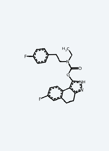 CCN(CCc1ccc(F)cc1)C(=O)Oc1[nH]nc2c1-c1ccc(F)cc1CC2